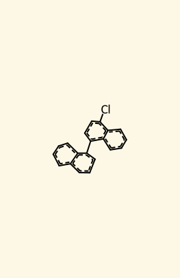 Clc1ccc(-c2cccc3ccccc23)c2ccccc12